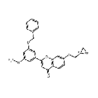 COc1cc(OCc2ccccc2)cc(-c2cc(=O)c3ccc(OC[C@H]4CO4)cc3o2)c1